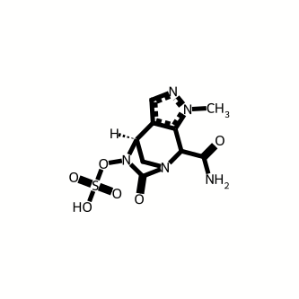 Cn1ncc2c1C(C(N)=O)N1C[C@H]2N(OS(=O)(=O)O)C1=O